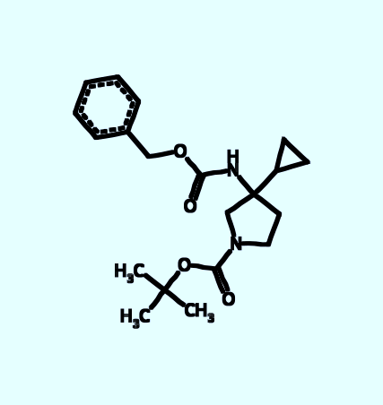 CC(C)(C)OC(=O)N1CCC(NC(=O)OCc2ccccc2)(C2CC2)C1